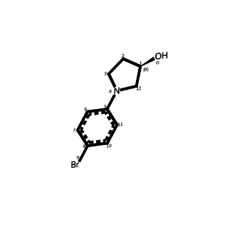 O[C@@H]1CCN(c2ccc(Br)cc2)C1